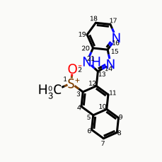 C[S+]([O-])c1cc2ccccc2cc1-c1nc2ncccc2[nH]1